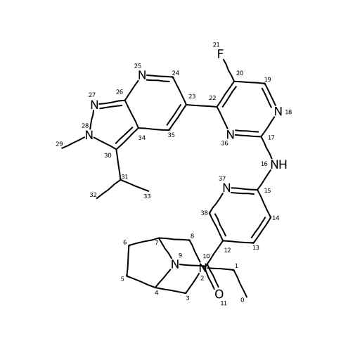 CCN1CC2CCC(C1)N2C(=O)c1ccc(Nc2ncc(F)c(-c3cnc4nn(C)c(C(C)C)c4c3)n2)nc1